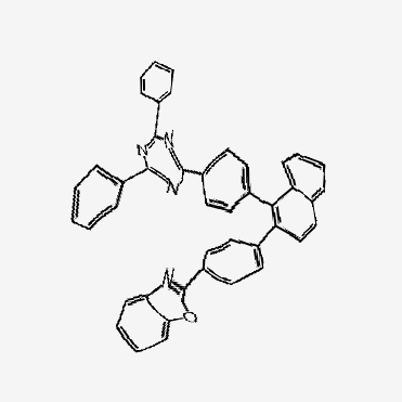 c1ccc(-c2nc(-c3ccccc3)nc(-c3ccc(-c4c(-c5ccc(-c6nc7ccccc7o6)cc5)ccc5ccccc45)cc3)n2)cc1